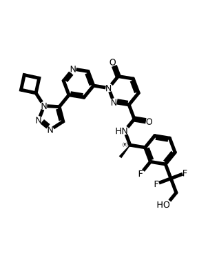 C[C@@H](NC(=O)c1ccc(=O)n(-c2cncc(-c3cnnn3C3CCC3)c2)n1)c1cccc(C(F)(F)CO)c1F